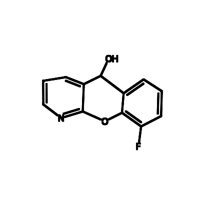 OC1c2cccnc2Oc2c(F)cccc21